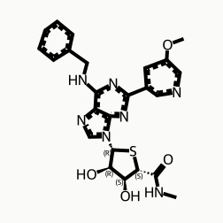 CNC(=O)[C@H]1S[C@@H](n2cnc3c(NCc4ccccc4)nc(-c4cncc(OC)c4)nc32)[C@H](O)[C@@H]1O